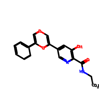 CCOC(=O)CNC(=O)c1ncc(C2=COC=C(C3=CC=CCC3)O2)cc1O